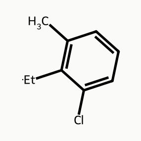 C[CH]c1c(C)cccc1Cl